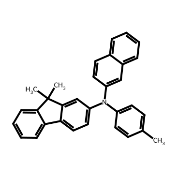 Cc1ccc(N(c2ccc3c(c2)C(C)(C)c2ccccc2-3)c2ccc3ccccc3c2)cc1